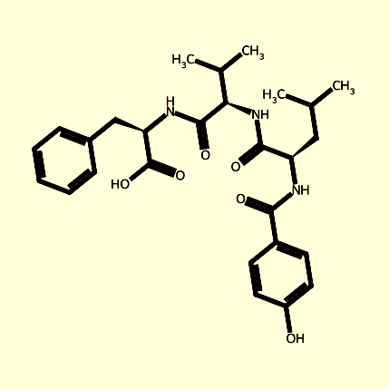 CC(C)C[C@@H](NC(=O)c1ccc(O)cc1)C(=O)N[C@@H](C(=O)N[C@H](Cc1ccccc1)C(=O)O)C(C)C